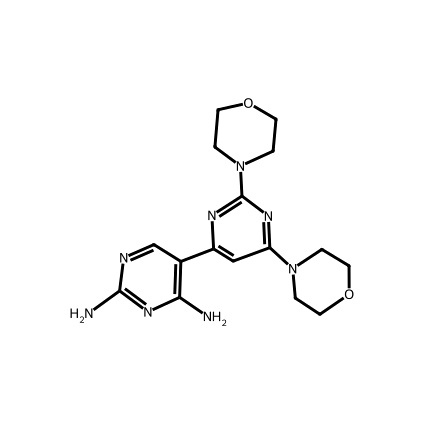 Nc1ncc(-c2cc(N3CCOCC3)nc(N3CCOCC3)n2)c(N)n1